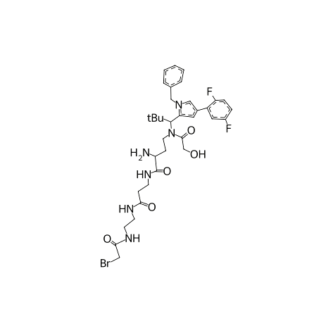 CC(C)(C)C(c1cc(-c2cc(F)ccc2F)cn1Cc1ccccc1)N(CCC(N)C(=O)NCCC(=O)NCCNC(=O)CBr)C(=O)CO